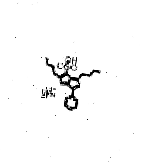 CCCCC1=C2C(=CC(CCCC)=C2S(=O)(=O)O)C(c2ccccc2)=C1.[Cl-].[Cl-].[Zr+2]